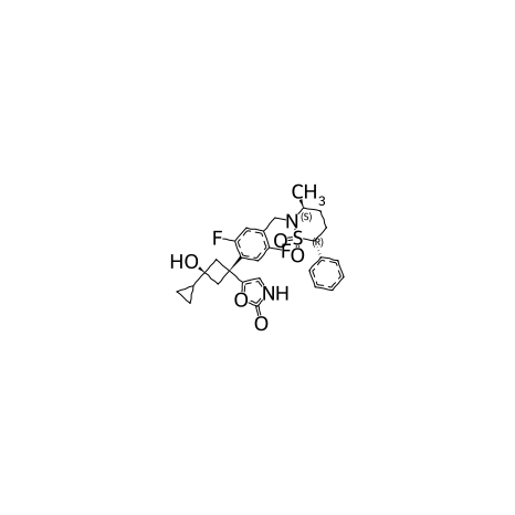 C[C@H]1CC[C@H](c2ccccc2)S(=O)(=O)N1Cc1cc(F)c([C@]2(c3c[nH]c(=O)o3)C[C@@](O)(C3CC3)C2)cc1F